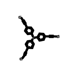 ClC#Cc1ccc(N(c2ccc(C#CCl)cc2)c2ccc(C#CCl)cc2)cc1